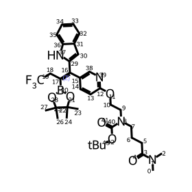 CN(C)C(=O)CCCN(CCOc1ccc(/C(=C(/CC(F)(F)F)B2OC(C)(C)C(C)(C)O2)c2cc3ccccc3[nH]2)cn1)C(=O)OC(C)(C)C